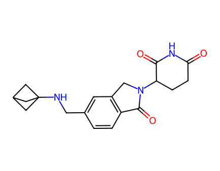 O=C1CCC(N2Cc3cc(CNC45CC(C4)C5)ccc3C2=O)C(=O)N1